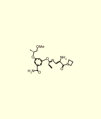 C=C/C(=N\C=C(/N)C(=O)N1CCC1)Oc1cc(O[C@@H](C)COC)cc(C(N)=O)c1